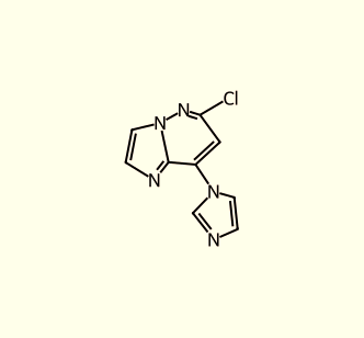 Clc1cc(-n2ccnc2)c2nccn2n1